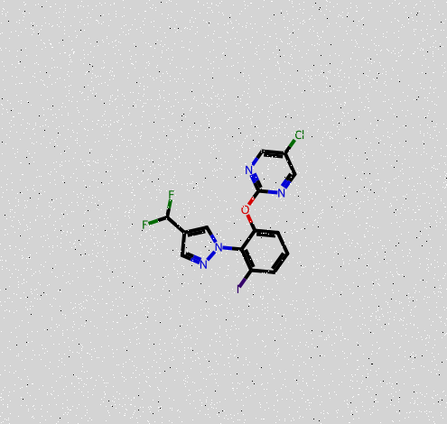 FC(F)c1cnn(-c2c(I)cccc2Oc2ncc(Cl)cn2)c1